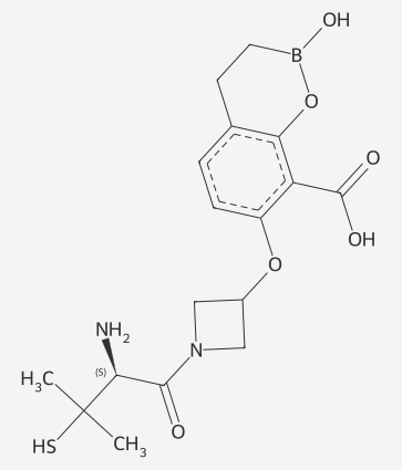 CC(C)(S)[C@@H](N)C(=O)N1CC(Oc2ccc3c(c2C(=O)O)OB(O)CC3)C1